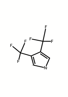 FC(F)(F)C1=[C][N]C=C1C(F)(F)F